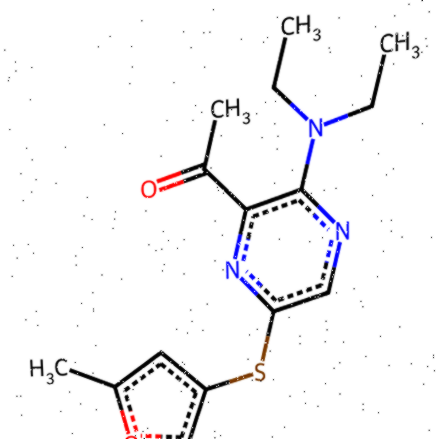 CCN(CC)c1ncc(Sc2coc(C)c2)nc1C(C)=O